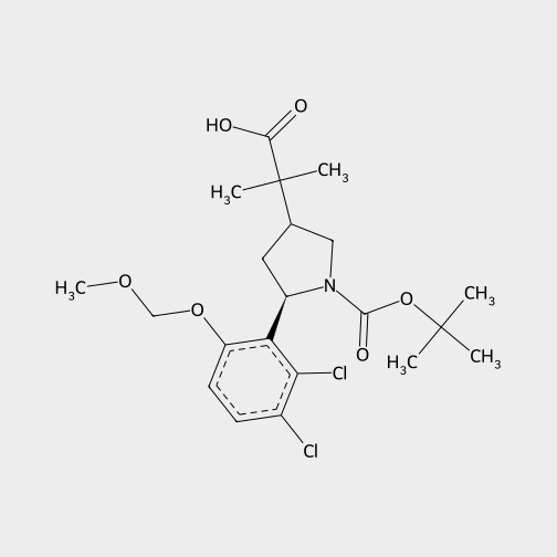 COCOc1ccc(Cl)c(Cl)c1[C@H]1CC(C(C)(C)C(=O)O)CN1C(=O)OC(C)(C)C